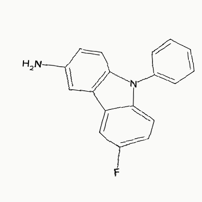 Nc1ccc2c(c1)c1cc(F)ccc1n2-c1ccccc1